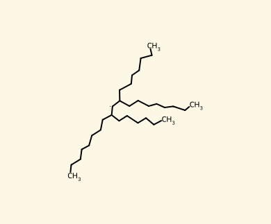 CCCCCCCCC([CH]C(CCCCCCC)CCCCCCCC)CCCCCC